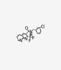 O=C(NCc1cccc(Cl)c1)c1cc2cccnc2nc1C(F)(F)F